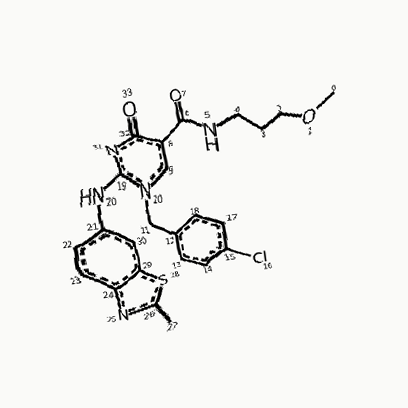 COCCCNC(=O)c1cn(Cc2ccc(Cl)cc2)c(Nc2ccc3nc(C)sc3c2)nc1=O